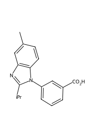 Cc1ccc2c(c1)nc(C(C)C)n2-c1cccc(C(=O)O)c1